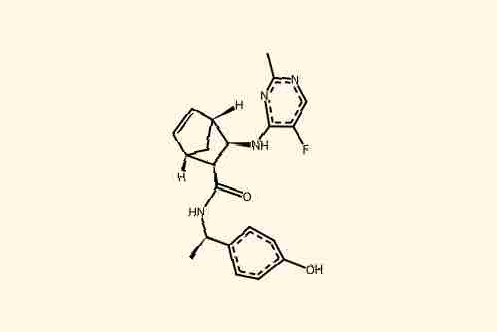 Cc1ncc(F)c(N[C@H]2[C@@H](C(=O)N[C@H](C)c3ccc(O)cc3)[C@@H]3C=C[C@H]2C3)n1